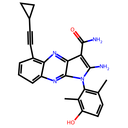 Cc1ccc(O)c(C)c1-n1c(N)c(C(N)=O)c2nc3c(C#CC4CC4)cccc3nc21